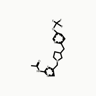 CC(=O)Nc1ncc(CN2CCC(Cc3ccc(OC(F)(F)F)cn3)C2)s1